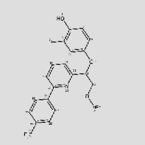 CCCOCC(Oc1ccc(O)c(C)c1)c1cccc(-c2ccc(C(F)(F)F)cc2)n1